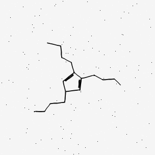 CCCC[C]1C=C(CCCC)C(CCCC)=C1